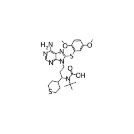 COc1ccc(OC)c(Sc2nc3c(N)ncnc3n2CCC(C2CCSCC2)N(C(=O)O)C(C)(C)C)c1